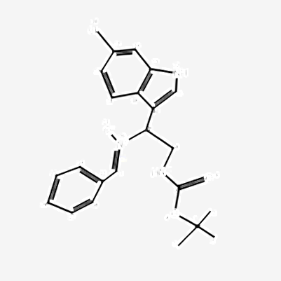 CC(C)(C)OC(=O)NCC(c1c[nH]c2cc(Cl)ccc12)/[N+]([O-])=C/c1ccccc1